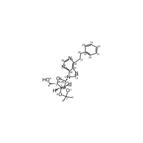 CC1(C)O[C@@H]2[C@H](O1)[C@@H](CO)O[C@H]2n1cnc2c(CCc3ccccc3)ncnc21